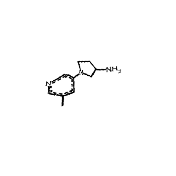 Cc1cncc(N2CCC(N)C2)c1